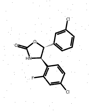 O=C1N[C@H](c2ccc(Cl)cc2F)[C@@H](c2cccc(Cl)c2)O1